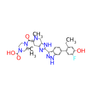 CCc1cc(O)c(F)cc1-c1ccc2c(-c3nc4c([nH]3)CN(C)[C@H](C(=O)N3CCN(C(=O)O)C[C@@H]3C)C4)n[nH]c2c1